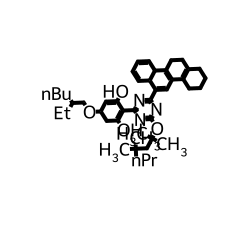 CCCCC(CC)COC1C=C(O)C(c2nc(OC(C)(C)CC(C)(C)CCC)nc(C3=CC4=C(CCC5=C4CCCC5)C4C=CC=CC34)n2)=C(O)C1